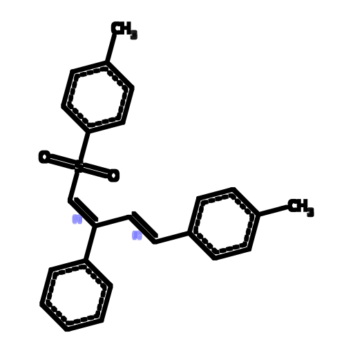 Cc1ccc(/C=C/C(=C\S(=O)(=O)c2ccc(C)cc2)c2ccccc2)cc1